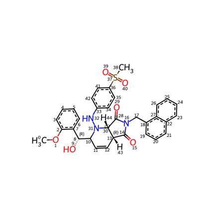 COc1ccccc1[C@@H](O)C1C=C[C@H]2C(=O)N(Cc3cccc4ccccc34)C(=O)[C@H]2N1Nc1ccc(S(C)(=O)=O)cc1